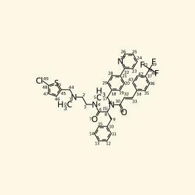 CN(CCN(C)C(=O)[C@H](Cc1ccccc1)N(Cc1ccc(-c2ccccn2)cc1)C(=O)C=Cc1ccc(C(F)(F)F)cc1)Cc1ccc(Cl)s1